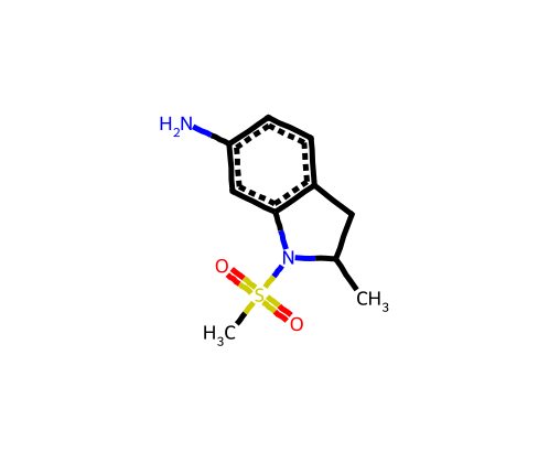 CC1Cc2ccc(N)cc2N1S(C)(=O)=O